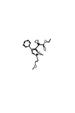 CCOC(=O)C(=O)c1c(-c2ccccc2)cc(CCOC)n1C